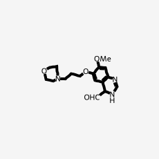 COc1cc2c(cc1OCCCN1CCOCC1)C(C=O)NC=N2